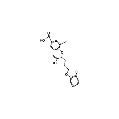 O=C(O)c1ccc(OC(CCCOc2ccccc2Cl)C(=O)O)c(Cl)c1